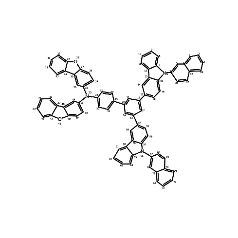 c1ccc2cc(-n3c4ccccc4c4cc(-c5cc(-c6ccc(N(c7ccc8oc9ccccc9c8c7)c7ccc8oc9ccccc9c8c7)cc6)cc(-c6ccc7c(c6)c6ccccc6n7-c6ccc7ccccc7c6)c5)ccc43)ccc2c1